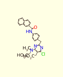 CN(CC(=O)O)c1nc(Cc2ccc(NC(=O)c3ccc4ccccc4c3)cc2)nc(Cl)c1CC(=O)O